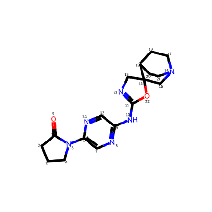 O=C1CCCN1c1cnc(NC2=NCC3(CN4CCC3CC4)O2)cn1